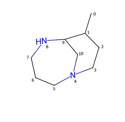 CC1CCN2CCCNC1C2